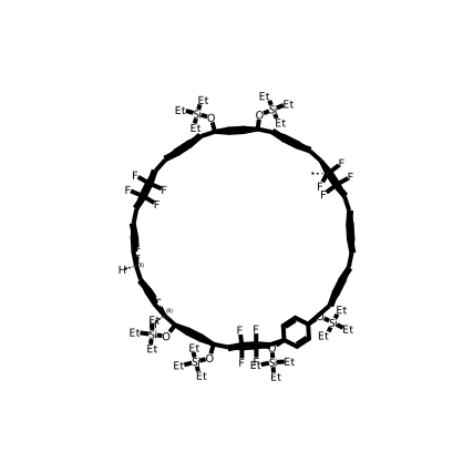 CC[Si](CC)(CC)OC12C=CC(O[Si](CC)(CC)CC)(C=C1)c1c(F)c(F)c(c(F)c1F)C1(O[Si](CC)(CC)CC)C=CC(O[Si](CC)(CC)CC)(C=C1)[C@H]1C=CC(=CC1)[C@H]1C=CC(=CC1)c1c(F)c(F)c(c(F)c1F)-c1ccc(cc1)C1(O[Si](CC)(CC)CC)C=CC(O[Si](CC)(CC)CC)(C=C1)c1ccc(cc1)C1C(F)=C(F)C(=C(F)[C@@]1(C)F)c1ccc(cc1)-c1ccc2cc1